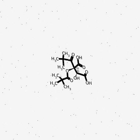 CC(C)(C)C(=O)O[C@](C(=O)O)(C(=O)C(C)(C)C)[C@@H](O)C(=O)O